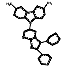 Cc1ccc2c(c1)c1cc(C)ccc1n2-c1cnc2nc(-c3ccccc3)c(-c3ccccc3)n2c1